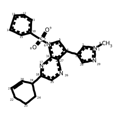 Cn1cc(-c2cn(S(=O)(=O)c3ccccc3)c3nc(C4C=CCCC4)cnc23)cn1